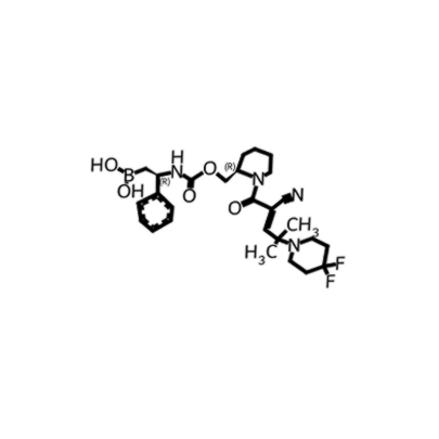 CC(C)(C=C(C#N)C(=O)N1CCCC[C@@H]1COC(=O)N[C@H](CB(O)O)c1ccccc1)N1CCC(F)(F)CC1